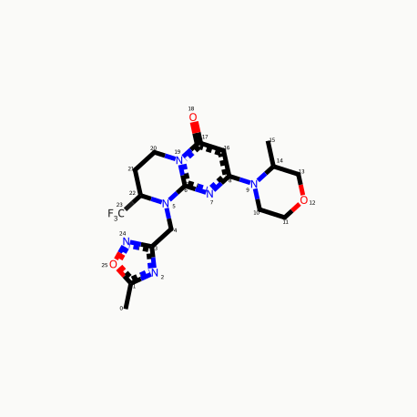 Cc1nc(CN2c3nc(N4CCOCC4C)cc(=O)n3CCC2C(F)(F)F)no1